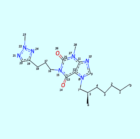 CCCCC[C@@H](C)Cn1cnc2c1c(=O)n(CCCc1cnn(C)n1)c(=O)n2C